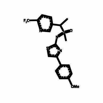 COc1ccc(-c2csc(N=S(C)(=O)C(C)c3ccc(C(F)(F)F)nc3)n2)cc1